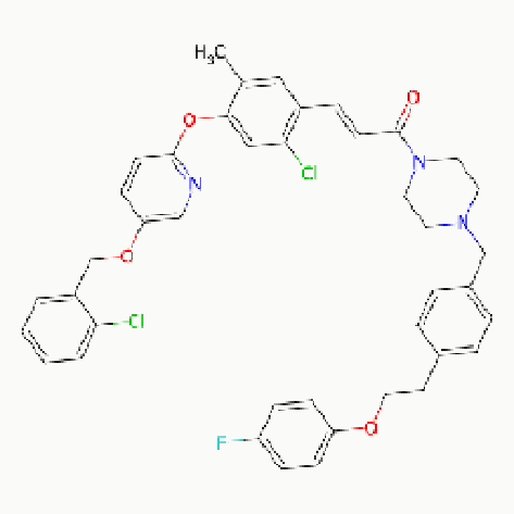 Cc1cc(C=CC(=O)N2CCN(Cc3ccc(CCOc4ccc(F)cc4)cc3)CC2)c(Cl)cc1Oc1ccc(OCc2ccccc2Cl)cn1